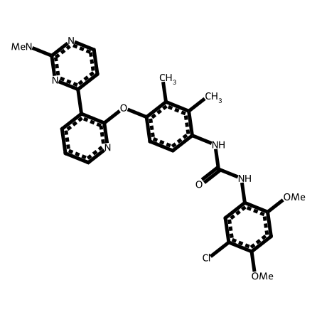 CNc1nccc(-c2cccnc2Oc2ccc(NC(=O)Nc3cc(Cl)c(OC)cc3OC)c(C)c2C)n1